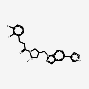 C[C@H]1CC(Cn2ncc3cc(-c4cn[nH]c4)ccc32)CN1C(=O)CCc1cccc(F)c1F